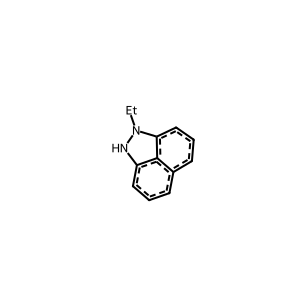 CCN1Nc2cccc3cccc1c23